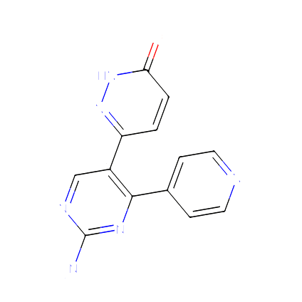 Nc1ncc(-c2ccc(=O)[nH]n2)c(-c2ccncc2)n1